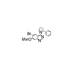 COc1cc2ncnc(N3CCCC3c3ccccc3)c2cc1Br